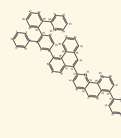 c1ccc(-c2cc(-c3cccc4c(-c5ccc6ccc7c(-c8ccccc8)ccnc7c6n5)cc5ccccc5c34)ccc2-c2ccccc2-c2ccccn2)cc1